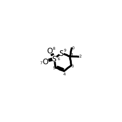 CC1(C)CC=CS(=O)(=O)S1